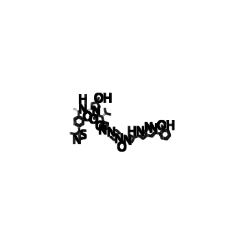 Cc1ncsc1-c1ccc([C@H](C)NC(=O)[C@@H]2C[C@@H](O)CN2C(=O)[C@@H](c2cc(N3CCN(C(=O)N4CC(c5cc6cc(-c7ccccc7O)nnc6[nH]5)C4)CC3)no2)C(C)C)cc1